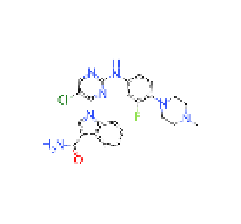 CN1CCN(c2ccc(Nc3ncc(Cl)c(-n4cc(C(N)=O)c5ccccc54)n3)cc2F)CC1